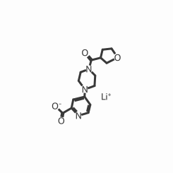 O=C([O-])c1cc(N2CCN(C(=O)C3CCOC3)CC2)ccn1.[Li+]